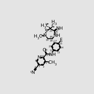 Cc1cc(C#N)cnc1C(=O)Nc1ccc(F)c([C@@H]2CN(C)SC(C)(C)C(=N)N2)c1